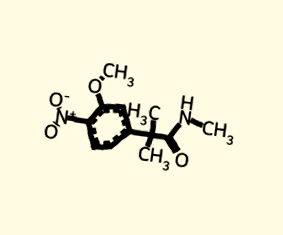 CNC(=O)C(C)(C)c1ccc([N+](=O)[O-])c(OC)c1